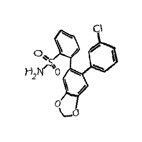 NS(=O)(=O)c1ccccc1-c1cc2c(cc1-c1cccc(Cl)c1)OCO2